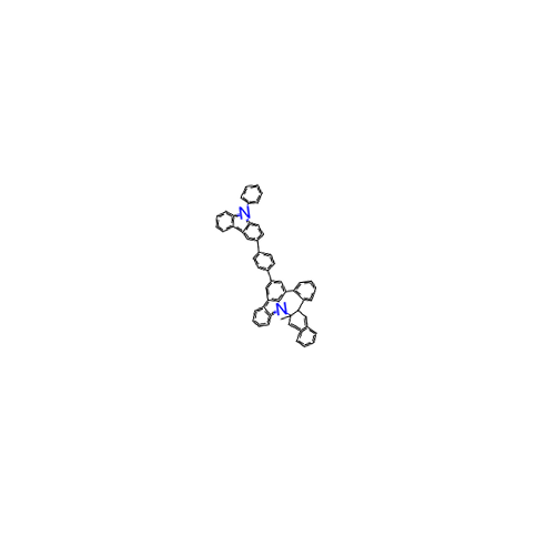 CC12C=c3ccccc3=CC1c1ccccc1-c1cc(-c3ccc(-c4ccc5c(c4)c4ccccc4n5-c4ccccc4)cc3)cc3c4ccccc4n2c13